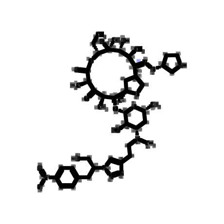 CC[C@H]1OC(=O)[C@H](C)C(=O)[C@H](C)[C@@H](O[C@@H]2O[C@H](C)C[C@H](N(C)CCc3cn([C@H](CO)Cc4ccc([N+](=O)[O-])cc4)nn3)[C@H]2O)[C@@]2(C)C[C@@H](CO2)/C(=N\O[C@@H]2CCNC2)[C@H](C)[C@@H](O)[C@]1(C)O